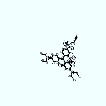 C#CCNS(=O)(=O)c1ccc(-c2c3ccc(=[N+](CC)CC)cc-3oc3cc(N(CC)CC)ccc23)c(S(=O)(=O)[O-])c1